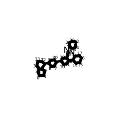 c1ccc2c(-c3ccc(-c4ccc5c6ccccc6n6c7ccccc7nc6c5c4)cc3)cccc2c1